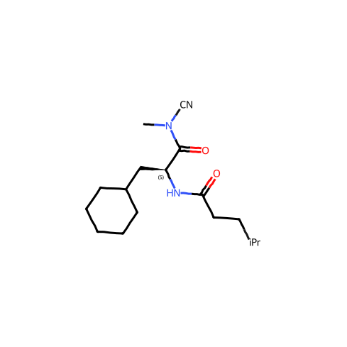 CC(C)CCC(=O)N[C@@H](CC1CCCCC1)C(=O)N(C)C#N